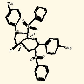 COc1ccc([C@@H]2C[C@@H]3C(S(=O)(=O)c4ccccc4)[C@H](c4ccc(OC)cc4)CC(=O)[C@@H]3CC2S(=O)(=O)c2ccccc2)cc1